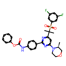 C[C@H]1COCCN1c1cc(C(C)(C)S(=O)(=O)c2cc(F)cc(F)c2)nc(-c2ccc(NC(=O)Oc3ccccc3)cc2)n1